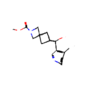 COc1ccncc1C(O)C1CC2(C1)CN(C(=O)OC(C)(C)C)C2